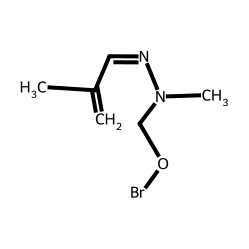 C=C(C)/C=N\N(C)COBr